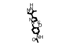 CC(=O)Nc1ccc2c(c1)OCc1cc(-c3cn[nH]c3C)nn1C2